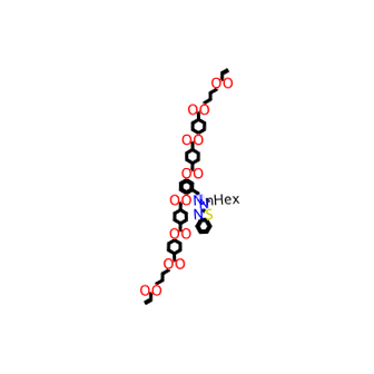 C=CC(=O)OCCCCOC(=O)C1CCC(OC(=O)C2CCC(C(=O)Oc3ccc(OC(=O)C4CCC(C(=O)OC5CCC(C(=O)OCCCCOC(=O)C=C)CC5)CC4)c(/C=N/N(CCCCCC)c4nc5ccccc5s4)c3)CC2)CC1